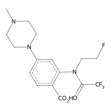 CN1CCN(c2ccc(C(=O)O)c(N(CCF)C(=O)C(F)(F)F)c2)CC1